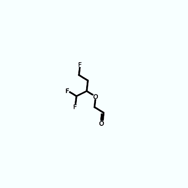 O=CCOC(CCF)C(F)F